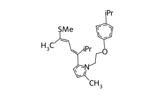 CS/C(C)=C/C=C(/c1ccc(C)n1CCOc1ccc(C(C)C)cc1)C(C)C